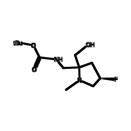 CN1C[C@H](F)CC1(CO)CNC(=O)OC(C)(C)C